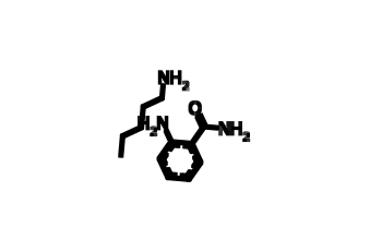 CCCCCN.NC(=O)c1ccccc1N